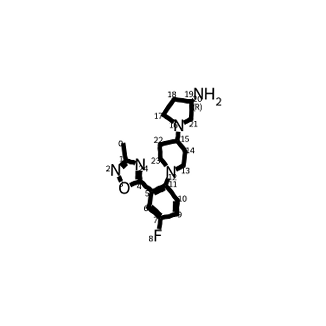 Cc1noc(-c2cc(F)ccc2N2CCC(N3CC[C@@H](N)C3)CC2)n1